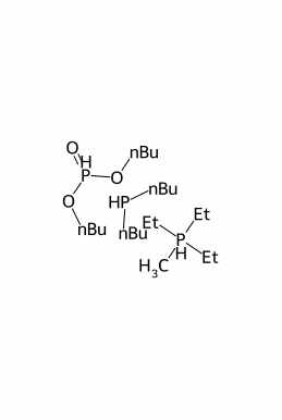 CCCCO[PH](=O)OCCCC.CCCCPCCCC.CC[PH](C)(CC)CC